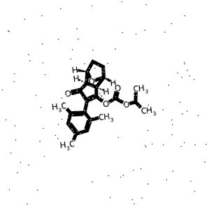 Cc1cc(C)c(C2=C(OC(=O)OC(C)C)[C@H]3[C@@H](C2=O)[C@@H]2CC[C@H]3O2)c(C)c1